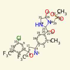 Cc1cc(C2=NOC(c3cc(Cl)cc(C(F)(F)F)c3)(C(F)(F)F)C2)ccc1C(=O)C1NCC(=O)N1CS(C)(=O)=O